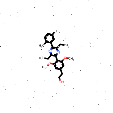 CCc1nc(-c2c(OC)cc(CCO)cc2OC)c(CC)nc1-c1cc(C)ccc1C